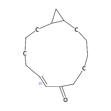 O=C1/C=C/CCCCC2CC2CCCCC1